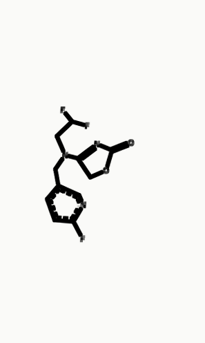 O=C1N=C(N(Cc2ccc(F)nc2)CC(F)F)CO1